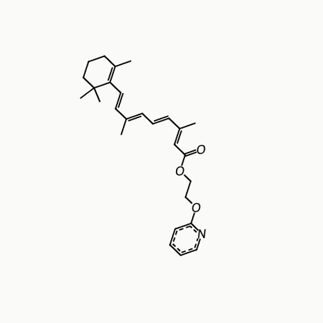 CC(C=CC1=C(C)CCCC1(C)C)=CC=CC(C)=CC(=O)OCCOc1ccccn1